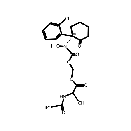 CC(C)C(=O)NC(C)C(=O)OCOC(=O)N(C)[C@]1(c2ccccc2Cl)CCCCC1=O